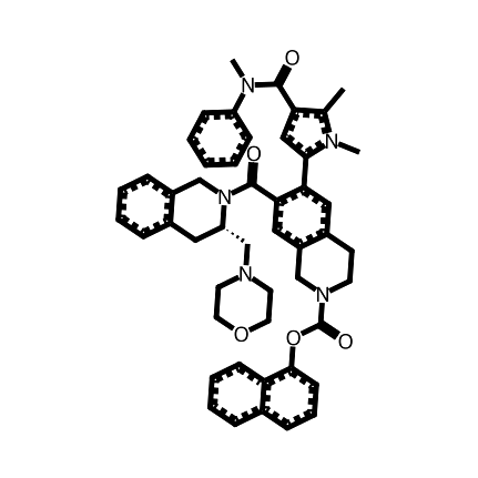 Cc1c(C(=O)N(C)c2ccccc2)cc(-c2cc3c(cc2C(=O)N2Cc4ccccc4C[C@H]2CN2CCOCC2)CN(C(=O)Oc2cccc4ccccc24)CC3)n1C